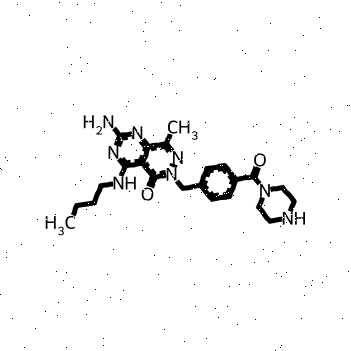 CCCCNc1nc(N)nc2c(C)nn(Cc3ccc(C(=O)N4CCNCC4)cc3)c(=O)c12